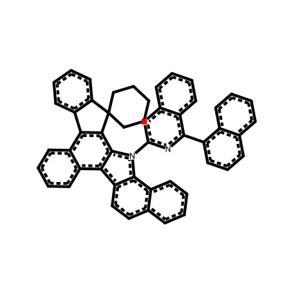 c1ccc2c(c1)-c1c(c3c(c4ccccc14)c1ccc4ccccc4c1n3-c1nc(-c3cccc4ccccc34)c3ccccc3n1)C21CCCCC1